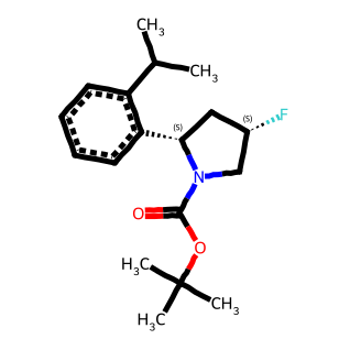 CC(C)c1ccccc1[C@@H]1C[C@H](F)CN1C(=O)OC(C)(C)C